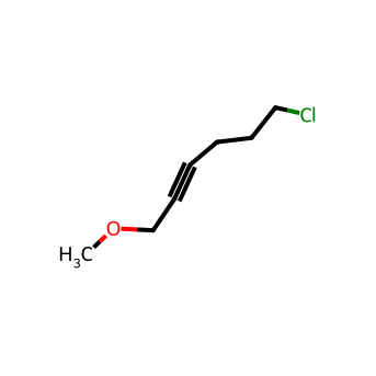 COCC#CCCCCl